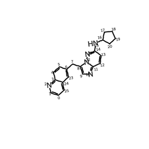 c1cnc2ccc(Cc3cnc4ccc(NC5CCCC5)nn34)cc2c1